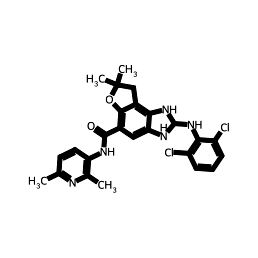 Cc1ccc(NC(=O)c2cc3c(c4c2OC(C)(C)C4)NC(Nc2c(Cl)cccc2Cl)N3)c(C)n1